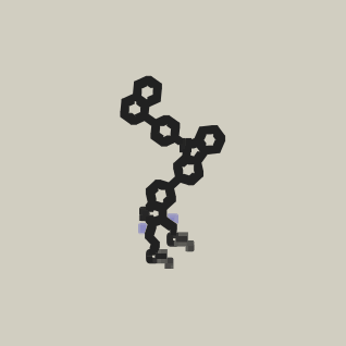 C=C/C=c1/sc2ccc(-c3ccc4c5ccccc5n(-c5ccc(-c6cccc7ccccc67)cc5)c4c3)cc2/c1=C/C